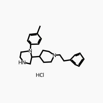 Cc1ccc(N2CCNCC2C2CCN(CCc3ccccc3)CC2)cc1.Cl